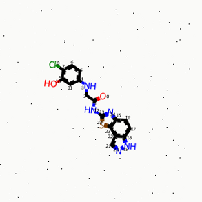 O=C(CNc1ccc(Cl)c(O)c1)Nc1nc2ccc3[nH]ncc3c2s1